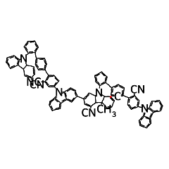 CC12C=CC=CC1N(c1ccccc1-c1ccc(-c3ccc(-n4c5ccccc5c5ccccc54)cc3C#N)cc1)C1C=C(c3ccc4c(c3)c3ccccc3n4-c3ccc(-c4ccc(-c5ccccc5N5c6ccccc6C6C=C(C#N)C=CC65)cc4)c(C#N)c3)C=C(C#N)C12